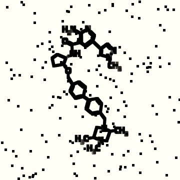 CC1CN(C)[C@@H](C)CN1Cc1ccc(-c2ccc(CO[C@H]3CCC[C@@H]3NC(=O)c3cc(-c4cnn(C)c4)cnc3N)cc2)cc1